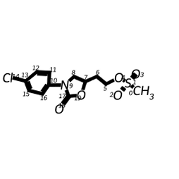 CS(=O)(=O)OCCC1CN(c2ccc(Cl)cc2)C(=O)O1